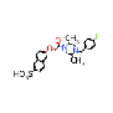 CC1CN(C(=O)COc2ccc3cc(S(=O)(=O)O)ccc3c2)C(C)CN1Cc1ccc(F)cc1